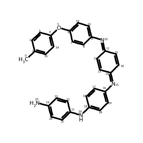 Cc1ccc(Oc2ccc(N=C3C=CC(=Nc4ccc(Nc5ccc(N)cc5)cc4)C=C3)cc2)cc1